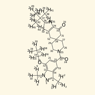 [2H]C([2H])([2H])c1nn(C([2H])([2H])[2H])c2c(OC([2H])([2H])C([2H])([2H])[2H])cc(C(=O)N3CCC4(CC3)CC(=O)c3nc(C(C([2H])([2H])[2H])(C([2H])([2H])[2H])C([2H])([2H])[2H])sc3C4)cc12